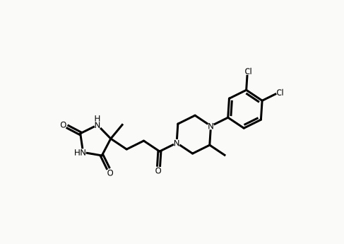 CC1CN(C(=O)CCC2(C)NC(=O)NC2=O)CCN1c1ccc(Cl)c(Cl)c1